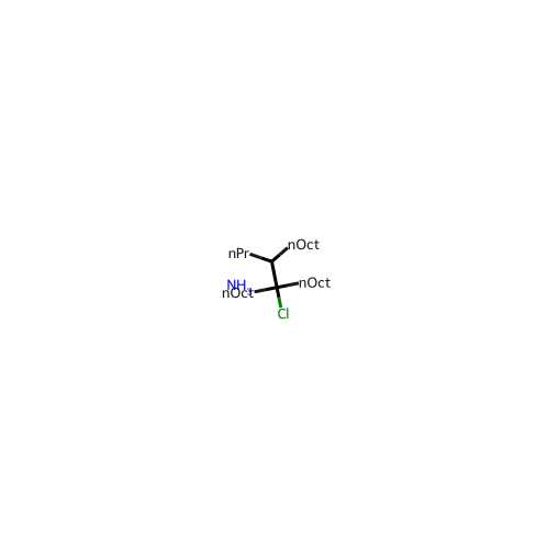 CCCCCCCCC(CCC)C(Cl)(CCCCCCCC)CCCCCCCC.N